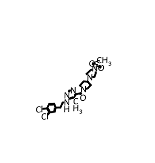 Cc1c(NCCc2ccc(Cl)c(Cl)c2)ncnc1C(=O)N1CCC(N2CCN(S(C)(=O)=O)CC2)CC1